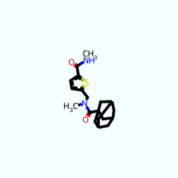 CNC(=O)c1ccc(CN(C)C(=O)C23CC4CC(CC(C4)C2)C3)s1